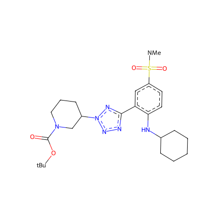 CNS(=O)(=O)c1ccc(NC2CCCCC2)c(-c2nnn(C3CCCN(C(=O)OC(C)(C)C)C3)n2)c1